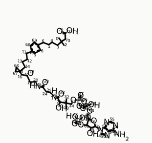 CC(C)(CCCCc1ccc(CCCCC2(CC(=O)CCNC(=O)CCNC(=O)C(O)C(C)(C)COP(=O)(O)OP(=O)(O)OCC3OC(n4cnc5c(N)ncnc54)C(O)C3OP(=O)(O)O)CC2)cc1)CC(=O)O